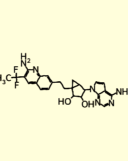 CC(F)(F)c1cc2ccc(CCC34CC3C(n3ccc5c(N)ncnc53)C(O)C4O)cc2nc1N